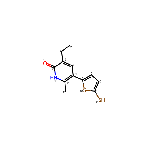 CCc1cc(-c2ccc(S)s2)c(C)[nH]c1=O